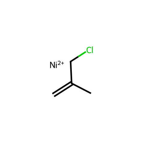 C=C(C)CCl.[Ni+2]